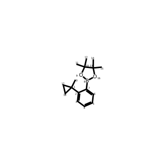 CC1(c2ccccc2B2OC(C)(C)C(C)(C)O2)CC1